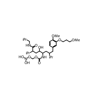 COCCCOc1cc(CC(CC(NC(=O)OCON(O)O)C(O)CC(C(=O)NCC(C)C)C(C)C)C(C)C)ccc1OC